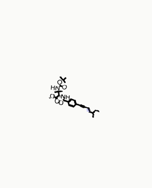 CCC(C)/C=C/C#Cc1ccc(C(=O)N[C@H](C(=O)OC)C(C)(C)NC(=O)OC(C)(C)C)cc1